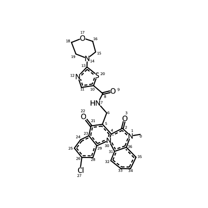 Cn1c(=O)c2c(CNC(=O)c3cnc(N4CCOCC4)s3)c(=O)c3ccc(Cl)cc3n2c2ccccc21